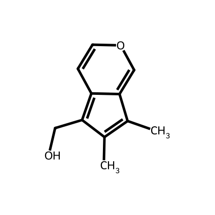 Cc1c2coccc-2c(CO)c1C